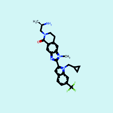 C[C@@H](N)CN1CCc2cc3c(cc2C1=O)nc(-c1cc2ccc(C(F)(F)F)cc2n1CC1CC1)n3C